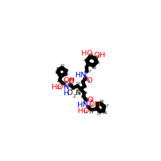 O=C(CCC(CCC(=O)NC(O)(O)Cc1ccccc1)(CCC(=O)NC(O)(O)Cc1ccccc1)[N+](=O)[O-])NCCc1ccc(O)c(O)c1